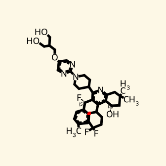 Cc1ccc([C@H](F)c2c(C3CCN(c4ncc(OCC(CO)CO)cn4)CC3)nc3c(c2C2CCC(F)(F)CC2)[C@@H](O)CC(C)(C)C3)cc1